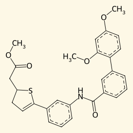 COC(=O)CC1CC=C(c2cccc(NC(=O)c3cccc(-c4ccc(OC)cc4OC)c3)c2)S1